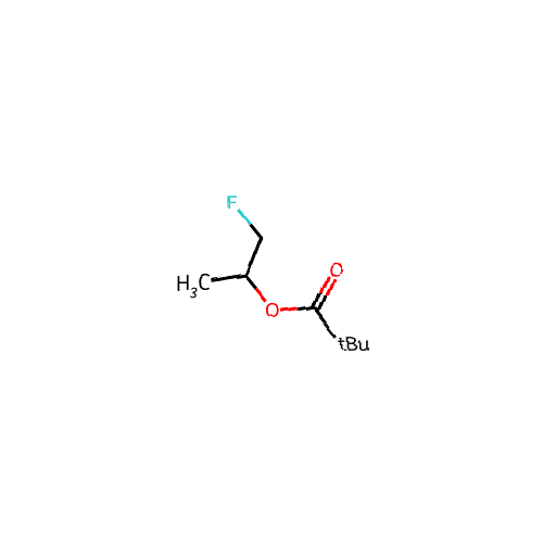 CC(CF)OC(=O)C(C)(C)C